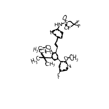 COc1ncc(F)cc1-c1cc(/C=C/c2ccc(NS(=O)(=O)CC(F)(F)F)cn2)c(OC)c(C(C)(C)C)c1